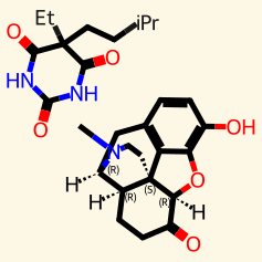 CCC1(CCC(C)C)C(=O)NC(=O)NC1=O.CN1CC[C@]23c4c5ccc(O)c4O[C@H]2C(=O)CC[C@H]3[C@H]1C5